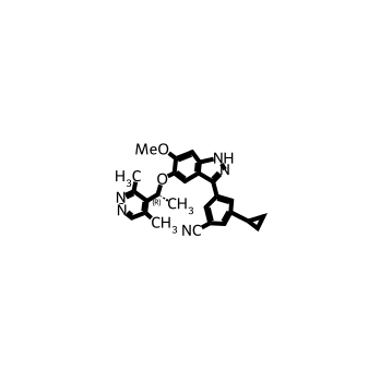 COc1cc2[nH]nc(-c3cc(C#N)cc(C4CC4)c3)c2cc1O[C@H](C)c1c(C)cnnc1C